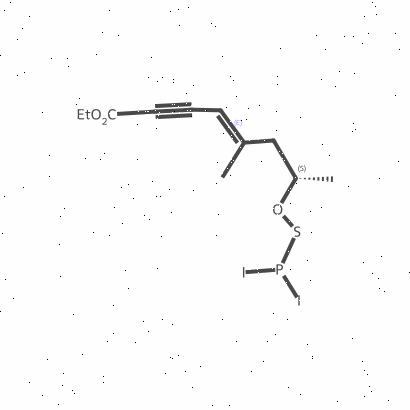 CCOC(=O)C#C/C=C(\C)C[C@H](C)OSP(I)I